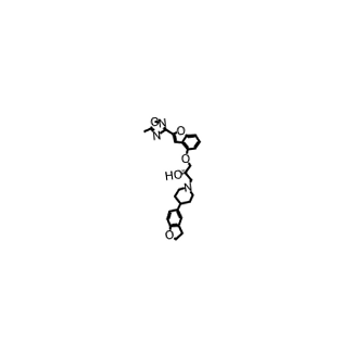 Cc1nc(-c2cc3c(OC[C@@H](O)CN4CCC(c5ccc6c(c5)CCO6)CC4)cccc3o2)no1